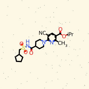 Cc1nc(N2CCC(C(=O)NS(=O)(=O)CC3CCCC3)CC2)c(C#N)cc1C(=O)OC(C)C